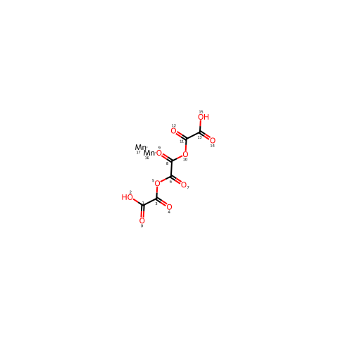 O=C(O)C(=O)OC(=O)C(=O)OC(=O)C(=O)O.[Mn].[Mn]